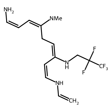 C=CN/C=C\C(=C/C/C(=C\C=C/N)NC)NCC(F)(F)C(F)(F)F